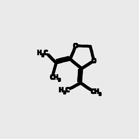 CC(C)=C1OCOC1=C(C)C